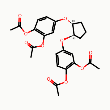 CC(=O)Oc1ccc(O[C@@H]2CCC[C@H]2Oc2ccc(OC(C)=O)c(OC(C)=O)c2)cc1OC(C)=O